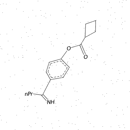 CCCC(=N)c1ccc(OC(=O)C2CCC2)cc1